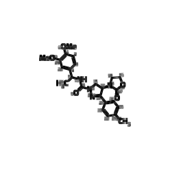 COc1ccc(C(C)NC(=O)N2C[C@@H](N3CCOC3=O)C(c3ccc(C)cc3)=N2)cc1OC